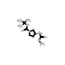 CC(C)(C)OC(=O)N1CC[C@@H](NC(=O)OP)C1